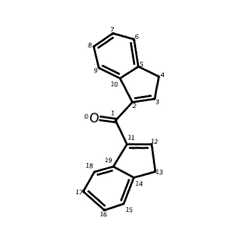 O=C(C1=CCc2ccccc21)C1=CCc2ccccc21